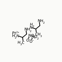 CC(N)CN.CC(N)CN.O=[N+]([O-])[O-].O=[N+]([O-])[O-].[Pt+2]